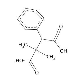 CC(C)(C(=O)O)C(C(=O)O)c1ccccc1